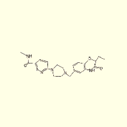 CCC1Oc2ccc(CN3CCN(c4ccc(C(=O)NC)nn4)CC3)cc2NC1=O